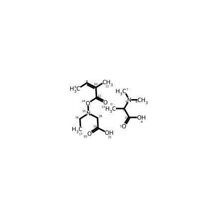 CC(C(=O)O)N(C)C.CC=C(C)C(=O)ON(CC)CC(=O)O